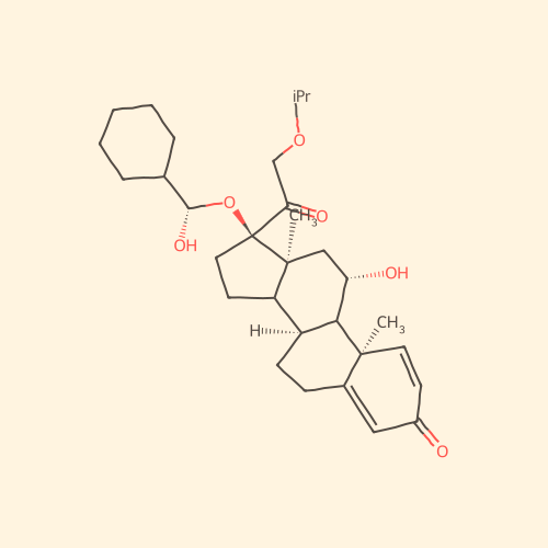 CC(C)OCC(=O)[C@@]1(O[C@H](O)C2CCCCC2)CCC2[C@@H]3CCC4=CC(=O)C=C[C@]4(C)C3[C@@H](O)C[C@@]21C